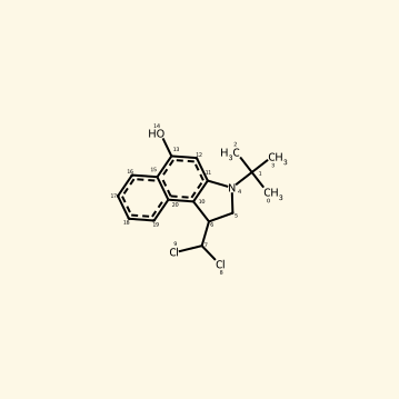 CC(C)(C)N1CC(C(Cl)Cl)c2c1cc(O)c1ccccc21